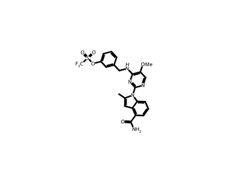 COc1cnc(-n2c(C)cc3c(C(N)=O)cccc32)nc1NCc1cccc(OS(=O)(=O)C(F)(F)F)c1